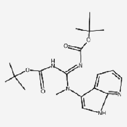 CN(C(=NC(=O)OC(C)(C)C)NC(=O)OC(C)(C)C)c1c[nH]c2ncccc12